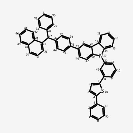 c1ccc(-c2ccc(-c3cccc(-n4c5ccccc5c5cc(-c6ccc(C(c7ccccc7)c7cccc8ccccc78)cc6)ccc54)c3)s2)cc1